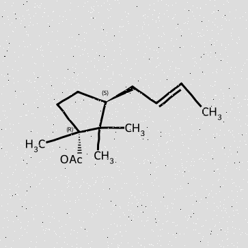 CC=CC[C@@H]1CC[C@@](C)(OC(C)=O)C1(C)C